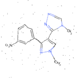 Cn1cc(-c2nncn2C)c(-c2cccc([N+](=O)[O-])c2)n1